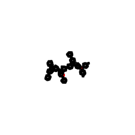 Cc1ccc(N(c2ccc(C)cc2)c2ccc(-n3c4ccc(-c5ccccc5)cc4c4cc(-c5ccc6c(c5)c5cc(-c7ccccc7)ccc5n6-c5ccc6c(c5)c5cc(-c7ccccc7)ccc5n6-c5ccccc5)ccc43)cc2)cc1